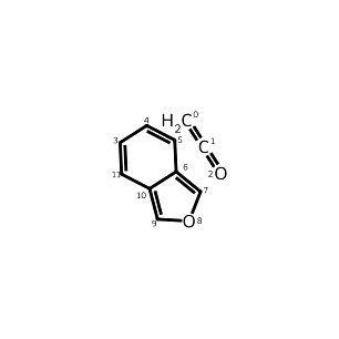 C=C=O.c1ccc2cocc2c1